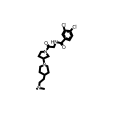 CN(C)CCC1CCN(C2CCN(C(=O)CNC(=O)c3ccc(Cl)c(Cl)c3)C2)CC1